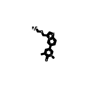 Cc1cc(-c2ccc3ncc(COCC(F)(F)F)n3c2)cn(C)c1=O